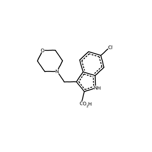 O=C(O)c1[nH]c2cc(Cl)ccc2c1CN1CCOCC1